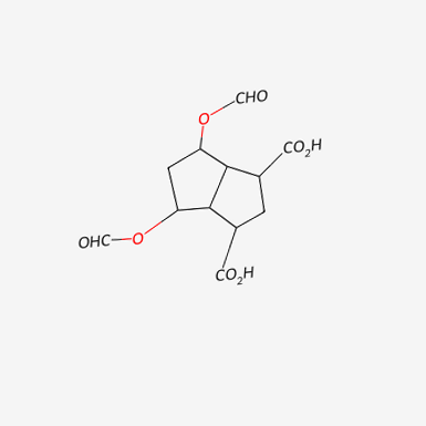 O=COC1CC(OC=O)C2C(C(=O)O)CC(C(=O)O)C12